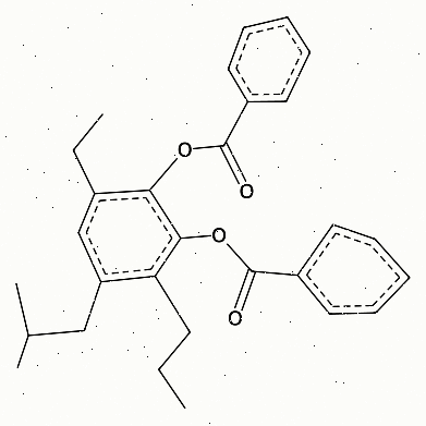 CCCc1c(CC(C)C)cc(CC)c(OC(=O)c2ccccc2)c1OC(=O)c1ccccc1